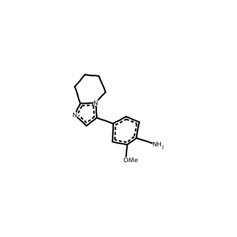 COc1cc(-c2cnc3n2CCCC3)ccc1N